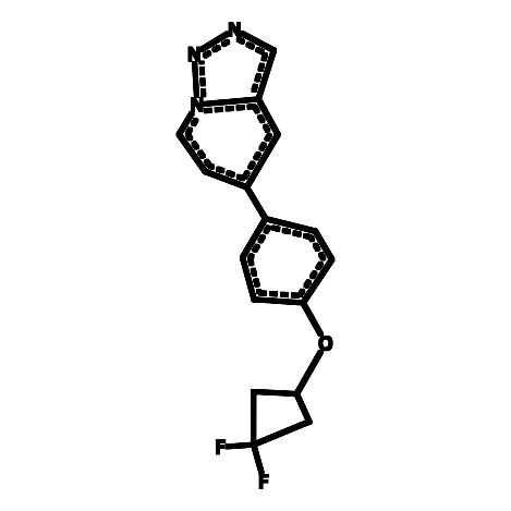 FC1(F)CC(Oc2ccc(-c3ccn4nncc4c3)cc2)C1